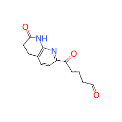 O=CCCCC(=O)c1ccc2c(n1)NC(=O)CC2